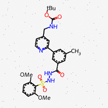 COc1cccc(OC)c1S(=O)(=O)NNC(=O)c1cc(C)cc(-c2cc(CNC(=O)OC(C)(C)C)ccn2)c1